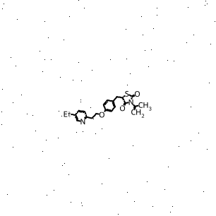 C=C(C)N1C(=O)SC(Cc2ccc(OCCc3ccc(CC)cn3)cc2)C1=O